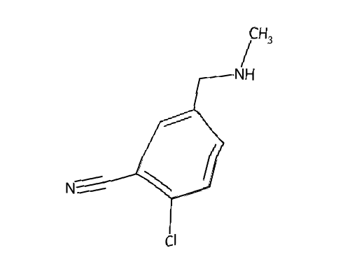 CNCc1ccc(Cl)c(C#N)c1